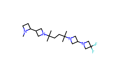 CN1CCC1C1CN(C(C)(C)CCC(C)(C)N2CC(N3CC(F)(F)C3)C2)C1